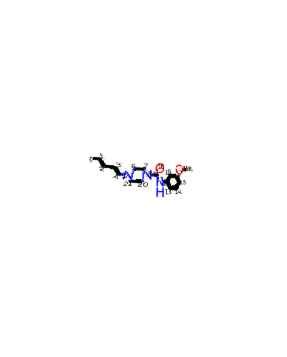 CCCCCN1CCN(C(=O)Nc2cccc(OC)c2)CC1